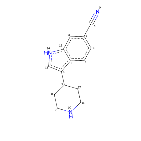 N#Cc1ccc2c(C3CCNCC3)c[nH]c2c1